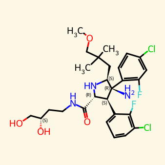 COCC(C)(C)C[C@@H]1N[C@@H](C(=O)NCC[C@H](O)CO)[C@H](c2cccc(Cl)c2F)[C@@]1(N)c1ccc(Cl)cc1F